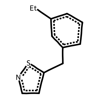 CCc1cccc(Cc2ccns2)c1